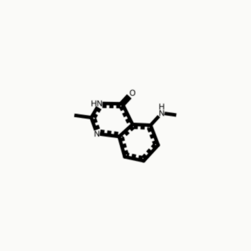 CNc1cccc2nc(C)[nH]c(=O)c12